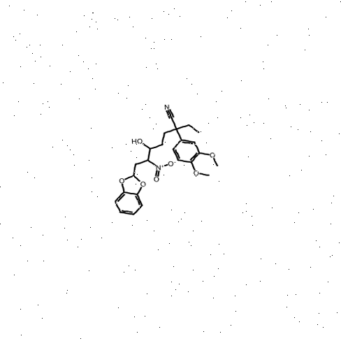 CCC(C#N)(CCC(O)C(CC1Oc2ccccc2O1)[N+](=O)[O-])c1ccc(OC)c(OC)c1